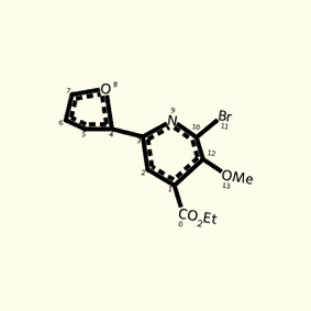 CCOC(=O)c1cc(-c2ccco2)nc(Br)c1OC